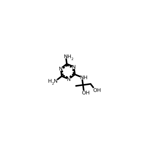 CC(O)(CO)Nc1nc(N)nc(N)n1